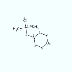 CC(C)(Cl)CN1CCOCC1